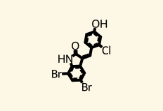 O=C1Nc2c(Br)cc(Br)cc2C1=Cc1ccc(O)cc1Cl